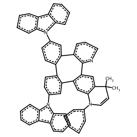 CC1(C)C=CN(c2ccccc2)c2cc3c(cc21)-c1ncccc1-c1cc(-n2c4ccccc4c4ccccc42)ccc1-c1ccc(-n2c4ccccc4c4ccccc42)cc1-3